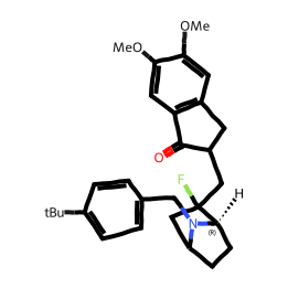 COc1cc2c(cc1OC)C(=O)C(CC1(F)CC3CC[C@H]1N3Cc1ccc(C(C)(C)C)cc1)C2